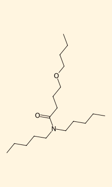 CCCCCN(CCCCC)C(=O)CCCOCCCC